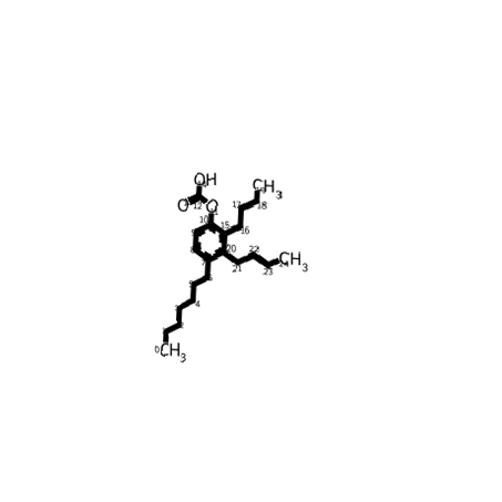 CCCCCCCc1ccc(OC(=O)O)c(CCCC)c1CCCC